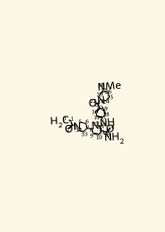 C=CC(=O)N1CCC(c2ccc(C(N)=O)c(Nc3ccc(C(=O)N4CCCC(NC)C4)cc3)n2)CC1